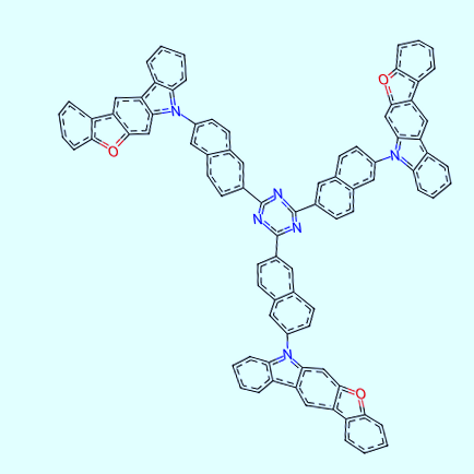 c1ccc2c(c1)oc1cc3c(cc12)c1ccccc1n3-c1ccc2cc(-c3nc(-c4ccc5cc(-n6c7ccccc7c7cc8c(cc76)oc6ccccc68)ccc5c4)nc(-c4ccc5cc(-n6c7ccccc7c7cc8c(cc76)oc6ccccc68)ccc5c4)n3)ccc2c1